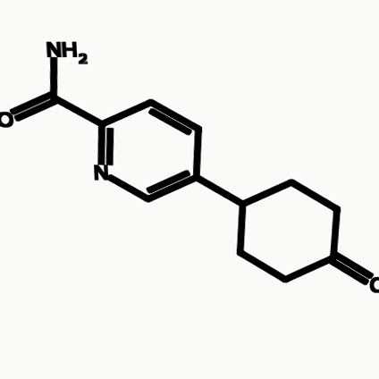 NC(=O)c1ccc(C2CCC(=O)CC2)cn1